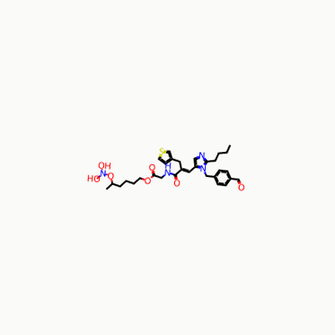 CCCCc1ncc(/C=C(\Cc2ccsc2)C(=O)NCC(=O)OCCCCC(C)ON(O)O)n1Cc1ccc(C=O)cc1